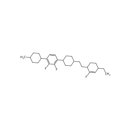 CCC1C=C(F)C(CCC2CCC(c3ccc(C4CCC(C)CC4)c(F)c3F)CC2)CC1